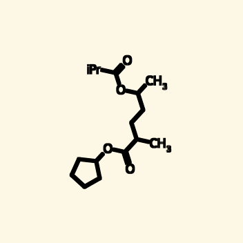 CC(CCC(C)C(=O)OC1CCCC1)OC(=O)C(C)C